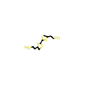 SCCC1CSC(C2SCC(CCS)S2)S1